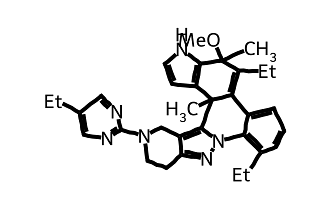 CCC1=C2c3cccc(CC)c3-n3nc4c(c3C2(C)c2cc[nH]c2C1(C)OC)CN(c1ncc(CC)cn1)CC4